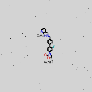 COc1ncccc1CNCc1ccc(-c2ccc(N3C[C@H](CNC(C)=O)OC3=O)cc2F)cc1